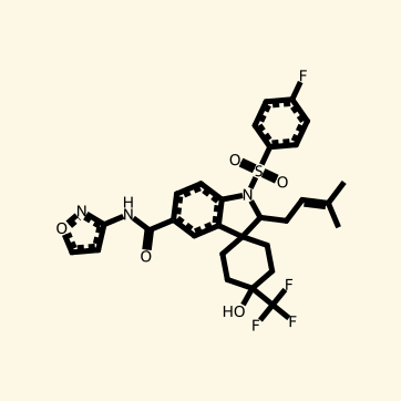 CC(C)=CCC1N(S(=O)(=O)c2ccc(F)cc2)c2ccc(C(=O)Nc3ccon3)cc2C12CCC(O)(C(F)(F)F)CC2